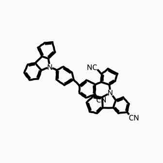 N#Cc1ccc2c(c1)c1ccccc1n2-c1cccc(C#N)c1-c1cc(-c2ccc(-n3c4ccccc4c4ccccc43)cc2)ccc1C#N